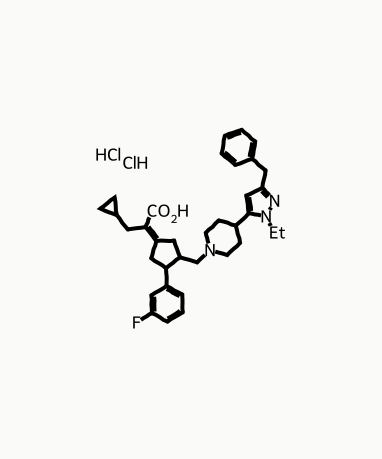 CCn1nc(Cc2ccccc2)cc1C1CCN(CC2C/C(=C(/CC3CC3)C(=O)O)CC2c2cccc(F)c2)CC1.Cl.Cl